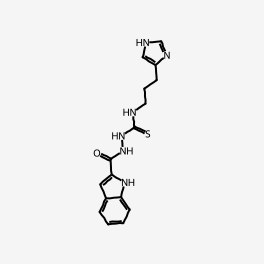 O=C(NNC(=S)NCCCc1c[nH]cn1)c1cc2ccccc2[nH]1